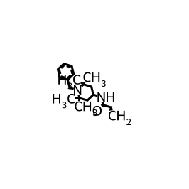 C=CC(=O)NC1CC(C)(C)N(Cc2ccccc2)C(C)(C)C1